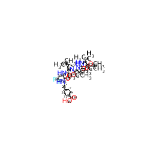 CC(C)[C@H](NC(=O)N[C@H](C(=O)N1CC2C([C@H]1C(=O)NC(CC(F)F)C(=O)NCCc1ccc(C(=O)O)cc1)C2(C)C)C(C)(C)C)C(=O)OC(C)(C)C